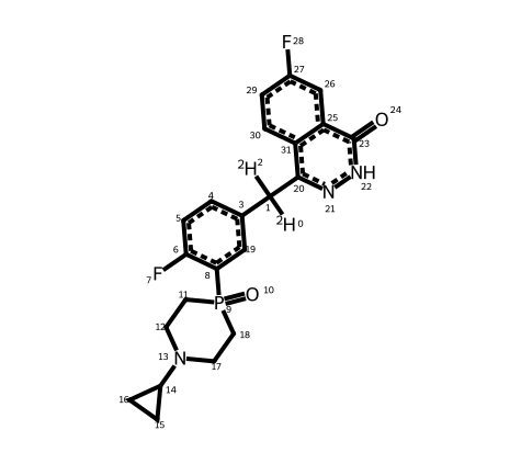 [2H]C([2H])(c1ccc(F)c(P2(=O)CCN(C3CC3)CC2)c1)c1n[nH]c(=O)c2cc(F)ccc12